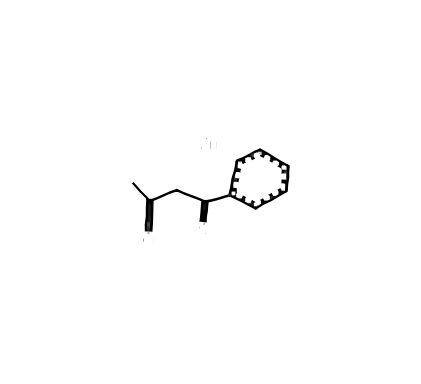 CC(=O)CC(=S)c1ccccc1.[Zn]